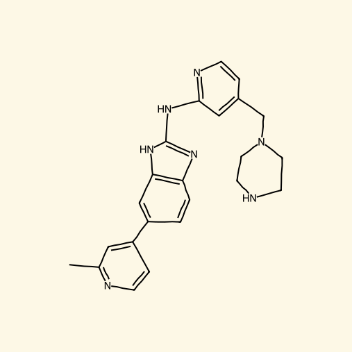 Cc1cc(-c2ccc3nc(Nc4cc(CN5CCNCC5)ccn4)[nH]c3c2)ccn1